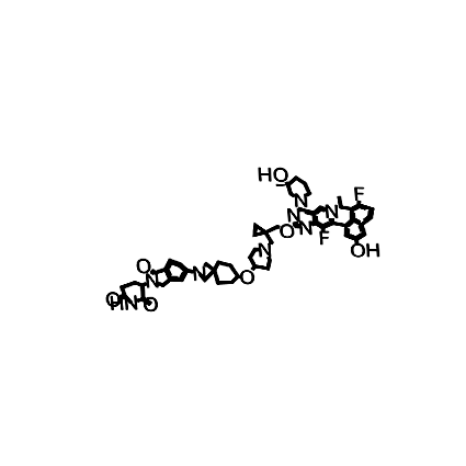 CCc1c(F)ccc2cc(O)cc(-c3ncc4c(N5CCC[C@@](C)(O)C5)nc(OCC5(CN6CCC(OC7CCC8(CC7)CN(c7ccc9c(c7)CN(C7CCC(=O)NC7=O)C9=O)C8)CC6)CC5)nc4c3F)c12